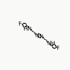 Fc1ccc(CNCCCCN2CCN(CCCCNCc3ccc(F)cc3)CC2)cc1